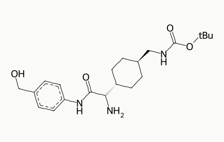 CC(C)(C)OC(=O)NC[C@H]1CC[C@H](C(N)C(=O)Nc2ccc(CO)cc2)CC1